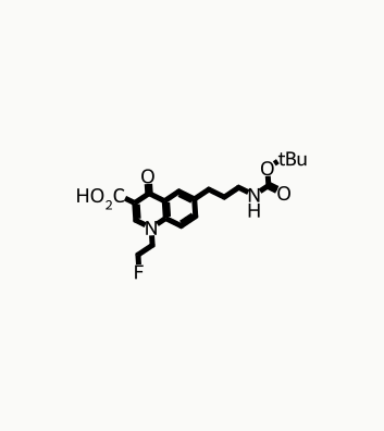 CC(C)(C)OC(=O)NCCCc1ccc2c(c1)c(=O)c(C(=O)O)cn2CCF